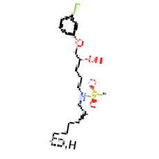 CS(=O)(=O)N(C/C=C\CCCC(=O)O)CCCC(O)COc1cccc(F)c1